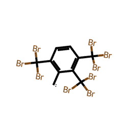 [CH]c1c(C(Br)(Br)Br)ccc(C(Br)(Br)Br)c1C(Br)(Br)Br